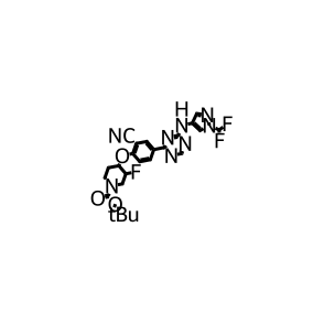 CC(C)(C)OC(=O)N1CCC(Oc2ccc(-c3ncnc(Nc4cnn(C(F)F)c4)n3)cc2C#N)C(F)C1